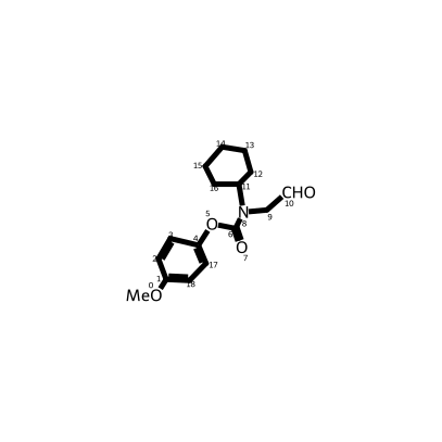 COc1ccc(OC(=O)N(CC=O)C2CCCCC2)cc1